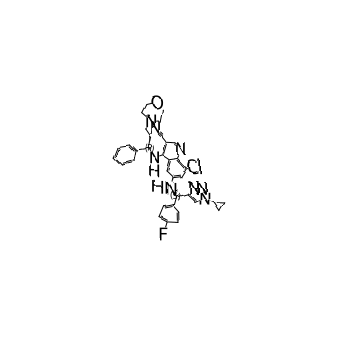 N#Cc1cnc2c(Cl)cc(N[C@@H](c3ccc(F)cc3)c3cn(C4CC4)nn3)cc2c1N[C@H](CCN1CCOCC1)c1ccccc1